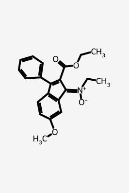 CCOC(=O)C1=C(c2ccccc2)c2ccc(OC)cc2/C1=[N+](\[O-])CC